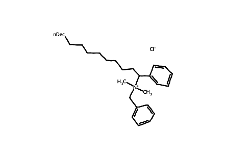 CCCCCCCCCCCCCCCCCCC(c1ccccc1)[N+](C)(C)Cc1ccccc1.[Cl-]